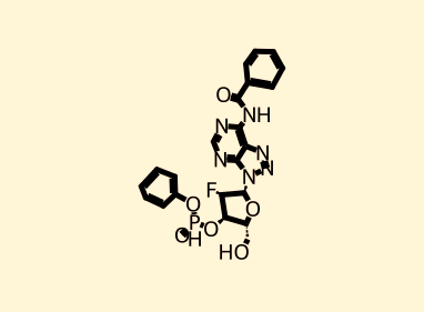 O=C(Nc1ncnc2c1nnn2[C@@H]1O[C@H](CO)[C@@H](O[PH](=O)Oc2ccccc2)[C@@H]1F)c1ccccc1